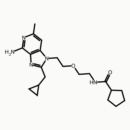 Cc1cc2c(nc(CC3CC3)n2CCOCCNC(=O)C2CCCC2)c(N)n1